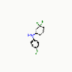 Fc1ccc(NC2CCCC(F)(F)C2)cc1